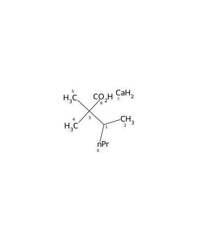 CCCC(C)C(C)(C)C(=O)O.[CaH2]